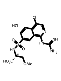 COC[C@@H](NS(=O)(=O)c1ccc2c(Cl)cnc(NC(=N)N)c2c1)C(=O)O.Cl